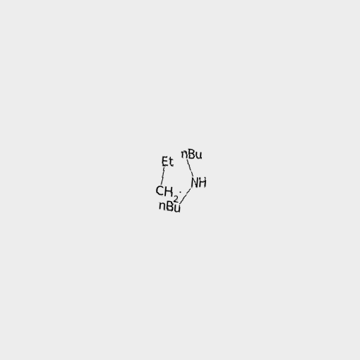 CCCCNCCCC.[CH2]CC